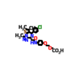 Cc1sc2c(c1C)C(c1ccc(Cl)cc1)=N[C@@H](CC(=O)Nc1ccc(OCCOCC(=O)O)cc1)c1nnc(C)n1-2